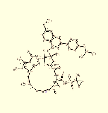 CCC(C)N(C(=O)O)[C@@H]1C(=O)N2[C@@H](C[C@@](C)(Oc3nc(-c4ccc(OC(C)C)cn4)cc4cc(OC)ccc34)C2(F)F)C(=O)N[C@]2(C(=O)NS(=O)(=O)C3(C)CC3)C[C@H]2/C=C\CC[C@H](C)C[C@H]1CC